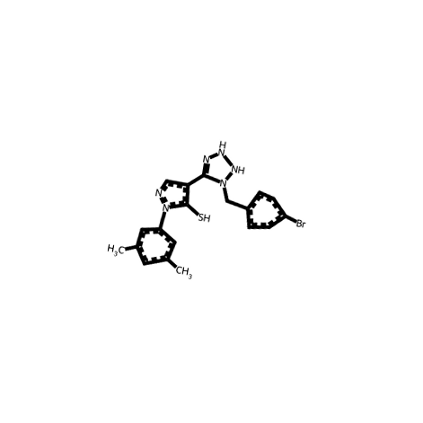 Cc1cc(C)cc(-n2ncc(C3=NNNN3Cc3ccc(Br)cc3)c2S)c1